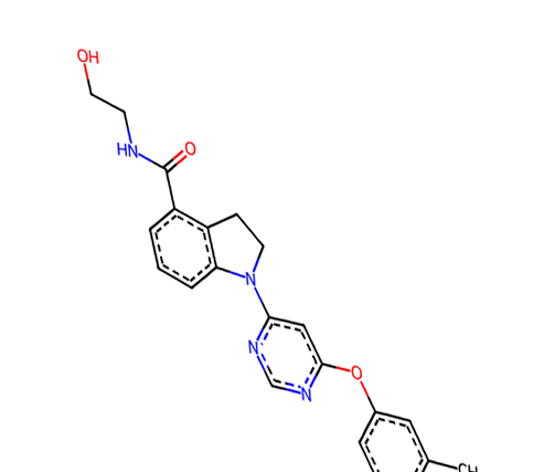 Cc1cccc(Oc2cc(N3CCc4c(C(=O)NCCO)cccc43)ncn2)c1